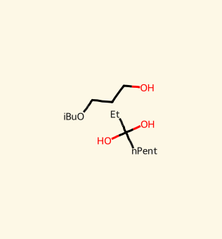 CC(C)COCCCO.CCCCCC(O)(O)CC